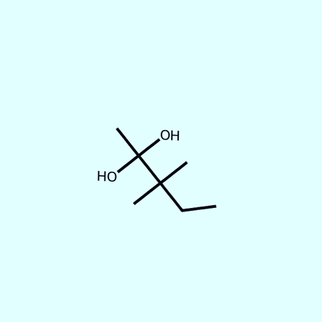 CCC(C)(C)C(C)(O)O